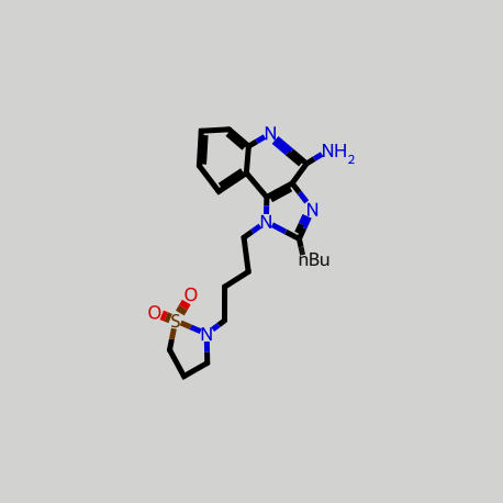 CCCCc1nc2c(N)nc3ccccc3c2n1CCCCN1CCCS1(=O)=O